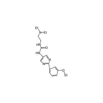 CCOc1cccc(-c2ncc(NC(=O)NCCN(CC)CC)cn2)c1